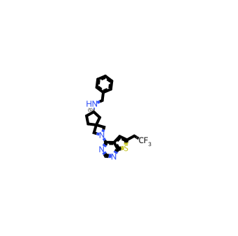 FC(F)(F)Cc1cc2c(N3CC4(CC[C@H](NCc5ccccc5)C4)C3)ncnc2s1